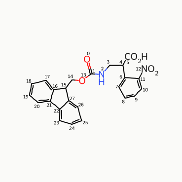 O=C(NCC(C(=O)O)c1ccccc1[N+](=O)[O-])OCC1c2ccccc2-c2ccccc21